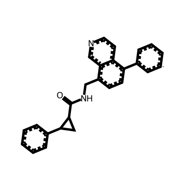 O=C(NCc1ccc(-c2c[c]ccc2)c2ccncc12)C1CC1c1ccccc1